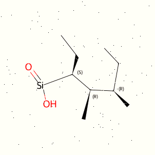 CC[C@@H](C)[C@@H](C)[C@H](CC)[Si](=O)O